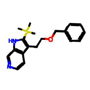 CS(C)(C)c1[nH]c2cnccc2c1CCOCc1ccccc1